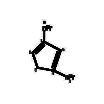 CCCC1=CCC(CCC)=C1